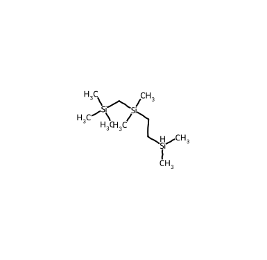 C[SiH](C)CC[Si](C)(C)C[Si](C)(C)C